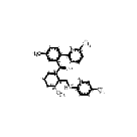 Cc1ccc(-c2cccc(C)n2)c(C(=O)N2CCC[C@@H](C)C2CNc2ccc(C(F)(F)F)cn2)c1